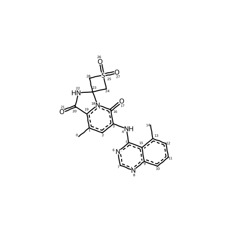 Cc1cc(Nc2ncnc3cccc(C)c23)c(=O)n2c1C(=O)NC21CS(=O)(=O)C1